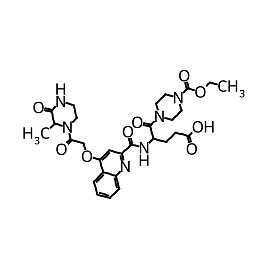 CCOC(=O)N1CCN(C(=O)C(CCC(=O)O)NC(=O)c2cc(OCC(=O)N3CCNC(=O)C3C)c3ccccc3n2)CC1